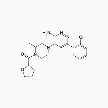 CC1CN(c2cc(-c3ccccc3O)nnc2N)CCN1C(=O)C1CCCO1